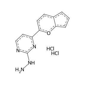 Cl.Cl.NNc1nccc(-c2ccc3cccc-3o2)n1